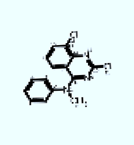 CN(c1ccccc1)c1nc(Cl)nc2c(Cl)cccc12